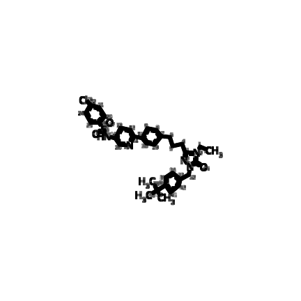 CCn1c(CCCc2ccc(-c3ccc(NS(=O)(=O)c4ccc(Cl)cc4)cn3)cc2)nn(Cc2ccc(C(C)(C)C)cc2)c1=O